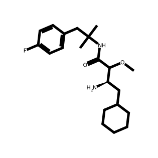 COC(C(=O)NC(C)(C)Cc1ccc(F)cc1)[C@H](N)CC1CCCCC1